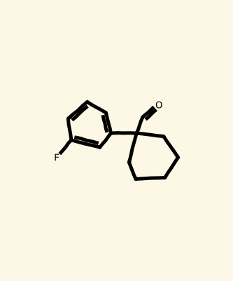 O=CC1(c2cccc(F)c2)CCCCC1